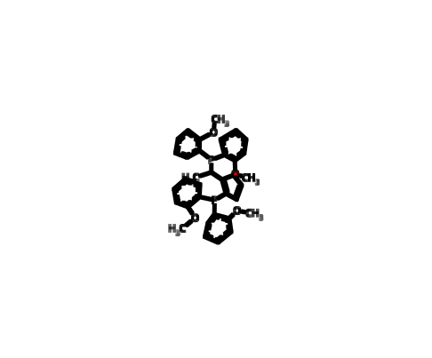 COc1ccccc1P(C1=C(C(C)P(c2ccccc2OC)c2ccccc2OC)CC=C1)c1ccccc1OC